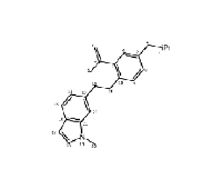 C=C(C)c1cc(CC(C)C)ccc1CCc1ccc2ccn(C)c2c1